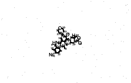 Cc1nc(N[C@H](C)c2cccc(C#N)c2C)c2cn(N3CCOCC3)c(=O)c(N3CCN4C(=O)OC[C@H]4C3)c2n1